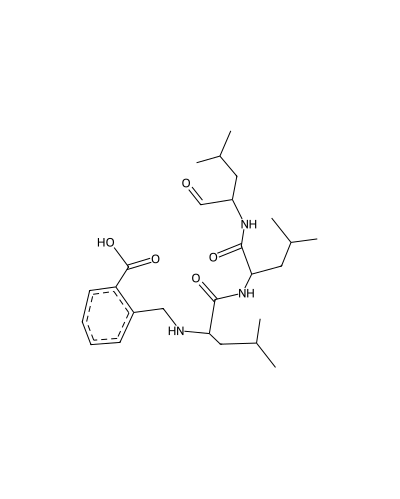 CC(C)CC(C=O)NC(=O)C(CC(C)C)NC(=O)C(CC(C)C)NCc1ccccc1C(=O)O